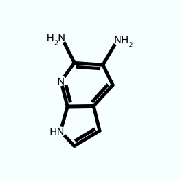 Nc1cc2cc[nH]c2nc1N